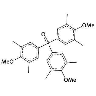 COc1c(C)cc(P(=O)(c2cc(C)c(OC)c(C)c2)c2cc(C)c(OC)c(C)c2)cc1C